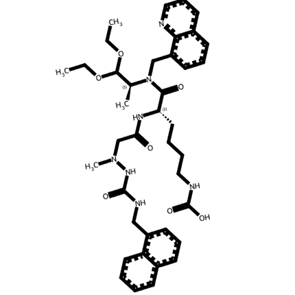 CCOC(OCC)[C@H](C)N(Cc1cccc2cccnc12)C(=O)[C@H](CCCCNC(=O)O)NC(=O)CN(C)NC(=O)NCc1cccc2ccccc12